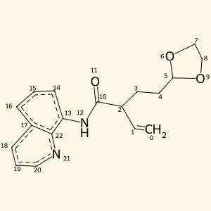 C=CC(CCC1OCCO1)C(=O)Nc1cccc2cccnc12